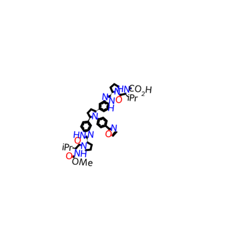 COC(=O)N[C@H](C(=O)N1CCC[C@H]1c1nc2cc([C@H]3CC[C@H](c4ccc5[nH]c([C@@H]6CCCN6C(=O)[C@@H](NC(=O)O)C(C)C)nc5c4)N3c3ccc(-c4ncco4)cc3)ccc2[nH]1)C(C)C